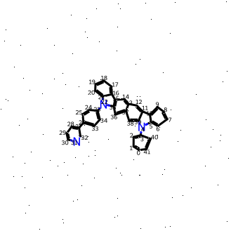 c1ccc(-n2c3ccccc3c3cc4cc5c6ccccc6n(-c6ccc(-c7cccnc7)cc6)c5cc4cc32)cc1